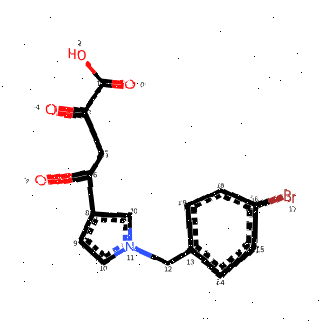 O=C(O)C(=O)CC(=O)c1ccn(Cc2ccc(Br)cc2)c1